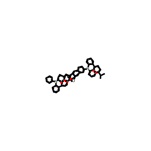 CC(C)c1ccc(-c2ccccc2N(c2ccccc2)c2ccc3cc4c(cc3c2)oc2cc3cc(N(c5ccccc5)c5ccccc5-c5ccc(C(C)(C)C)cc5)ccc3cc24)cc1